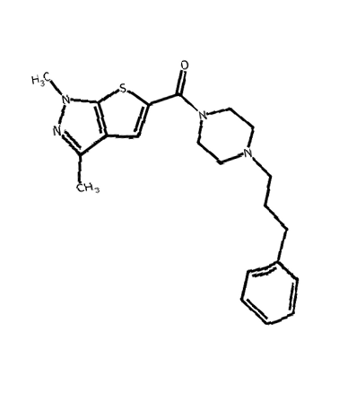 Cc1nn(C)c2sc(C(=O)N3CCN(CCCc4ccccc4)CC3)cc12